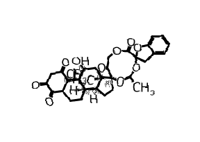 CC1OC2(Cc3ccccc3O2)C(=O)OCC(=O)[C@]2(CC[C@H]3[C@@H]4CCC5C(=O)C(=O)CC(=O)[C@]5(C)C4(F)[C@@H](O)C[C@@]32C)O1